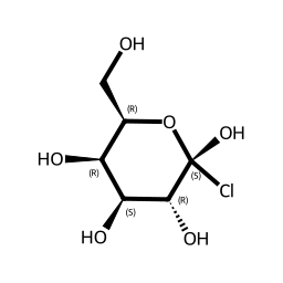 OC[C@H]1O[C@](O)(Cl)[C@H](O)[C@@H](O)[C@H]1O